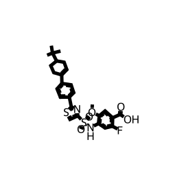 COc1cc(C(=O)O)c(F)cc1NS(=O)(=O)c1csc(-c2ccc(C3=CCC(C(C)(C)C)CC3)cc2)n1